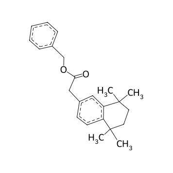 CC1(C)CCC(C)(C)c2cc(CC(=O)OCc3ccccc3)ccc21